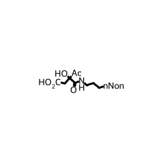 CCCCCCCCCCCCNC(=O)C(O)(CC(=O)O)C(C)=O